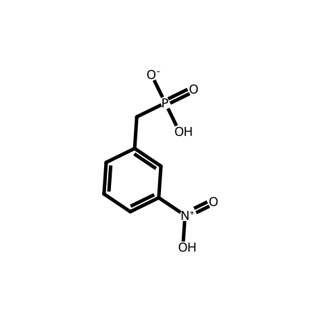 O=[N+](O)c1cccc(CP(=O)([O-])O)c1